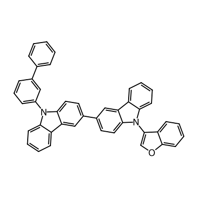 c1ccc(-c2cccc(-n3c4ccccc4c4cc(-c5ccc6c(c5)c5ccccc5n6-c5coc6ccccc56)ccc43)c2)cc1